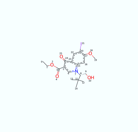 CCOC(=O)c1cn([C@H](CO)C(C)(C)C)c2cc(OC)c(I)cc2c1=O